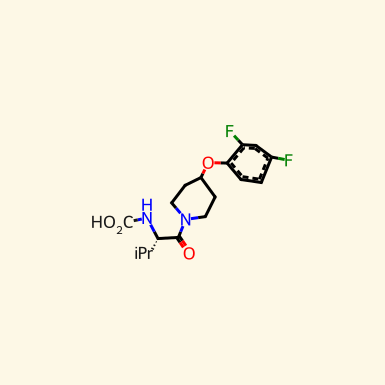 CC(C)[C@H](NC(=O)O)C(=O)N1CCC(Oc2ccc(F)cc2F)CC1